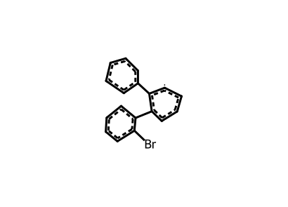 Brc1ccccc1-c1ccc[c]c1-c1ccccc1